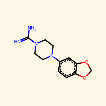 N=C(N)N1CCN(c2ccc3c(c2)OCO3)CC1